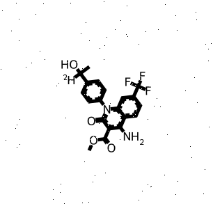 [2H]C(C)(O)c1ccc(-n2c(=O)c(C(=O)OC)c(N)c3ccc(C(F)(F)F)cc32)cc1